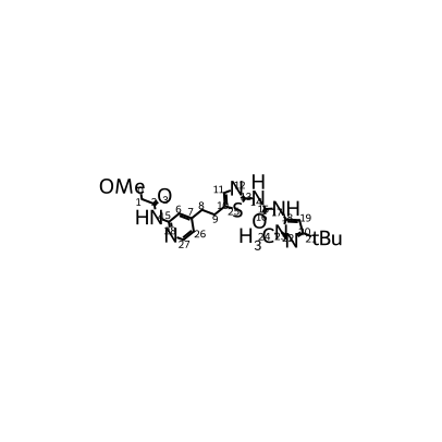 COCC(=O)Nc1cc(CCc2cnc(NC(=O)Nc3cc(C(C)(C)C)nn3C)s2)ccn1